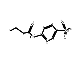 CCCC(=O)Nc1ccc(S(C)(=O)=O)cn1